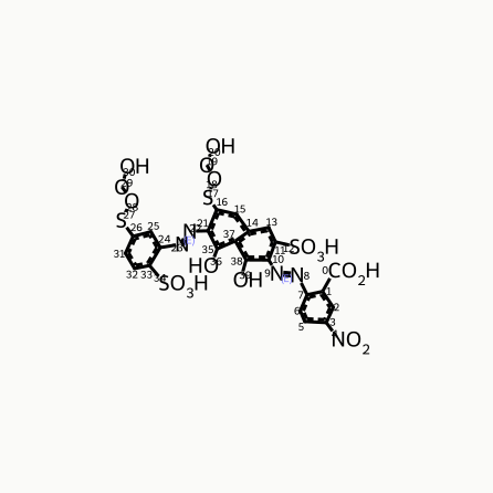 O=C(O)c1cc([N+](=O)[O-])ccc1/N=N/c1c(S(=O)(=O)O)cc2cc(SOOO)c(/N=N/c3cc(SOOO)ccc3S(=O)(=O)O)c(O)c2c1O